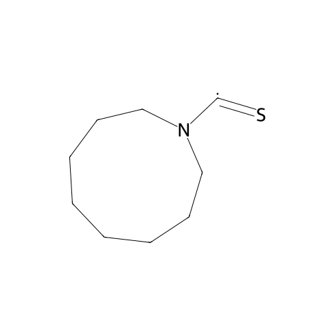 S=[C]N1CCCCCCCC1